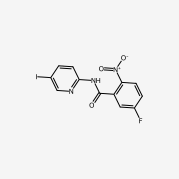 O=C(Nc1ccc(I)cn1)c1cc(F)ccc1[N+](=O)[O-]